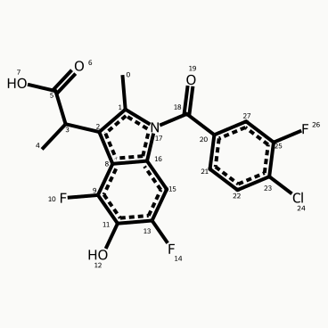 Cc1c(C(C)C(=O)O)c2c(F)c(O)c(F)cc2n1C(=O)c1ccc(Cl)c(F)c1